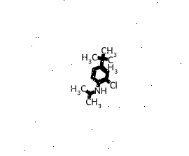 CC(C)Nc1ccc(C(C)(C)C)cc1Cl